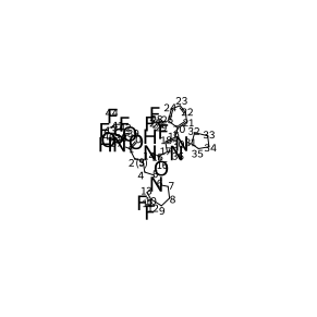 O=C(C[C@H](CCN1CCCC(F)(F)C1)NC(=O)c1cc(-c2ccccc2C(F)(F)F)n(C2CCCC2)n1)NS(=O)(=O)C(F)(F)F